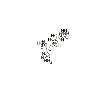 Nc1nc2c(ncn2[C@H](O)[C@@H](O)OP(=S)(S)OC[C@H]2O[C@@H](n3cnc4c(N)ncnc43)C[C@@H]2O[PH](O)=S)c(=O)[nH]1